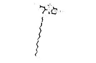 CCCCCCCCCCCCCCCCOCC(OC(C)=O)C(OP(=O)([O-])OC1C[N+]2(C)CCC1CC2)C(C)C